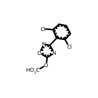 O=C(O)Oc1nc(-c2c(Cl)cccc2Cl)no1